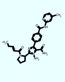 CC/C=C/C(=O)N1CCCC1c1nc(-c2ccc(C(=O)Nc3cc(C)ccn3)cc2)c(C(N)=O)n1N